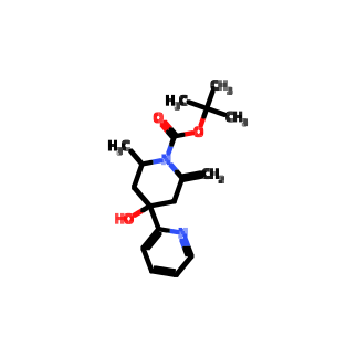 C=C1CC(O)(c2ccccn2)CC(C)N1C(=O)OC(C)(C)C